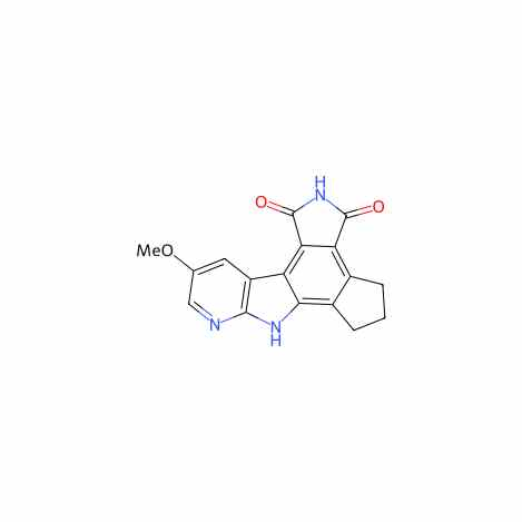 COc1cnc2[nH]c3c4c(c5c(c3c2c1)C(=O)NC5=O)CCC4